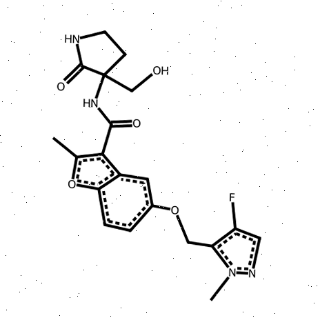 Cc1oc2ccc(OCc3c(F)cnn3C)cc2c1C(=O)NC1(CO)CCNC1=O